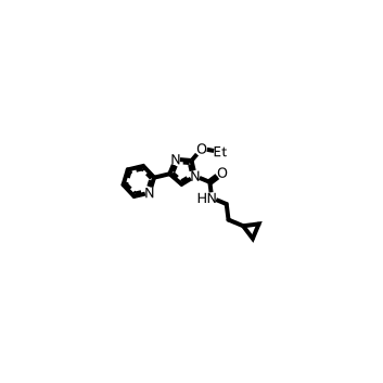 CCOc1nc(-c2ccccn2)cn1C(=O)NCCC1CC1